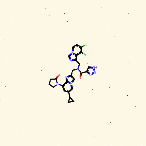 O=C(c1c[nH]nn1)N(Cc1cn2cc(C3CC3)cc(N3CCCC3=O)c2n1)Cc1ncn2ccc(Cl)c(F)c12